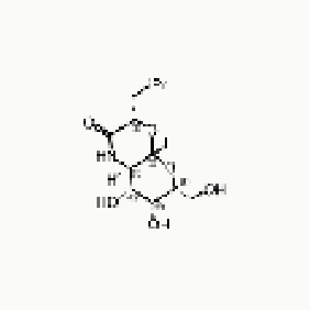 CC(C)C[C@@H]1O[C@@H]2O[C@H](CO)[C@H](O)[C@H](O)[C@H]2NC1=O